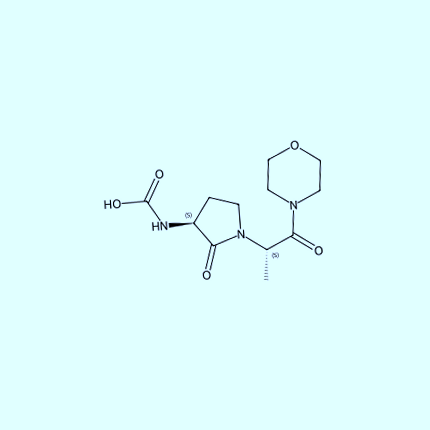 C[C@@H](C(=O)N1CCOCC1)N1CC[C@H](NC(=O)O)C1=O